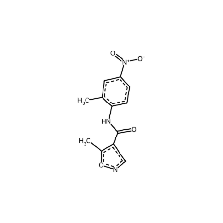 Cc1cc([N+](=O)[O-])ccc1NC(=O)c1cnoc1C